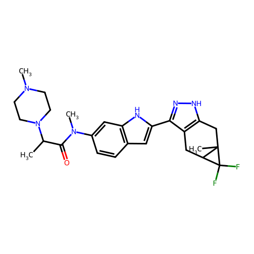 CC(C(=O)N(C)c1ccc2cc(-c3n[nH]c4c3CC3C(F)(F)C3(C)C4)[nH]c2c1)N1CCN(C)CC1